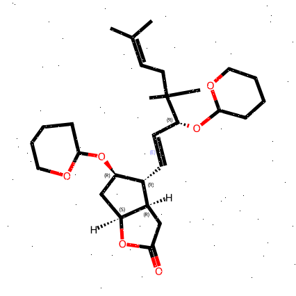 CC(C)=CCC(C)(C)[C@@H](/C=C/[C@@H]1[C@H]2CC(=O)O[C@H]2C[C@H]1OC1CCCCO1)OC1CCCCO1